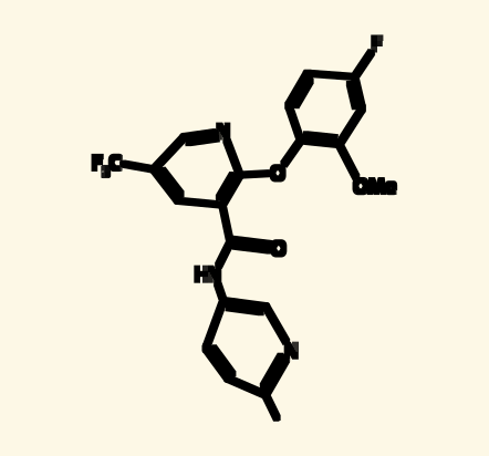 COc1cc(F)ccc1Oc1ncc(C(F)(F)F)cc1C(=O)Nc1ccc(C)nc1